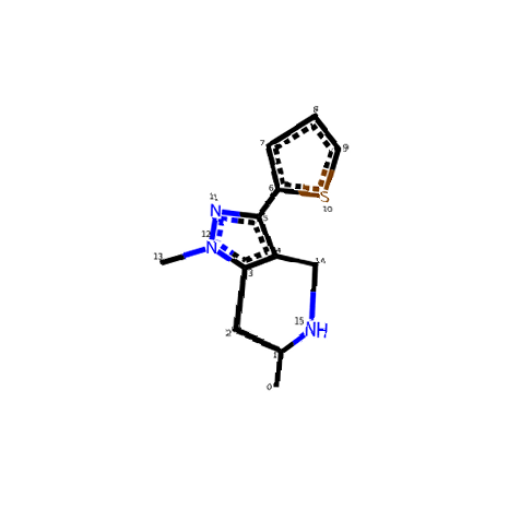 CC1Cc2c(c(-c3cccs3)nn2C)CN1